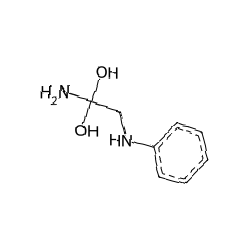 NC(O)(O)CNc1ccccc1